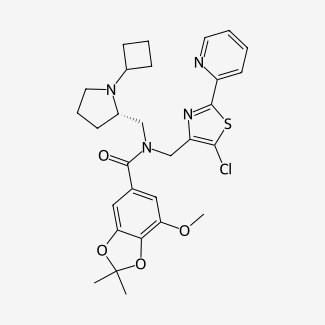 COc1cc(C(=O)N(Cc2nc(-c3ccccn3)sc2Cl)C[C@@H]2CCCN2C2CCC2)cc2c1OC(C)(C)O2